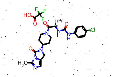 CCC[C@@H](NC(=O)Nc1ccc(Cl)cc1)C(=O)N1CCC(N2Cc3cnc(C)n3C2=O)CC1.O=C(O)C(F)(F)F